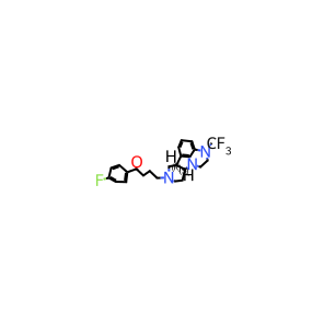 O=C(CCCN1CC[C@H]2[C@@H](C1)c1cccc3c1N2CCN3C(F)(F)F)c1ccc(F)cc1